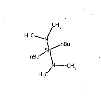 CCC[CH2][Sn]([CH2]CCC)([N](C)C)[N](C)C